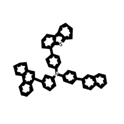 c1cc(-c2cc3ccccc3c3ccccc23)cc(N(c2ccc(-c3ccc4ccccc4c3)cc2)c2ccc(-c3cccc4c3sc3ccccc34)cc2)c1